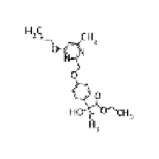 C=CCOc1cc(C)nc(COc2ccc(C(C)(O)C(=O)OCC)cc2)n1